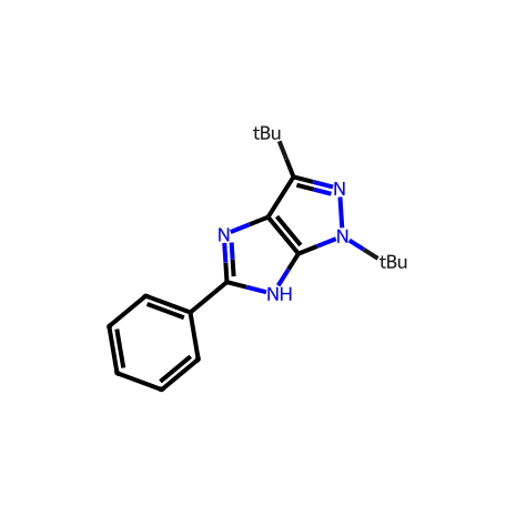 CC(C)(C)c1nn(C(C)(C)C)c2[nH]c(-c3ccccc3)nc12